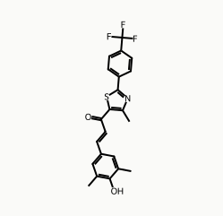 Cc1cc(C=CC(=O)c2sc(-c3ccc(C(F)(F)F)cc3)nc2C)cc(C)c1O